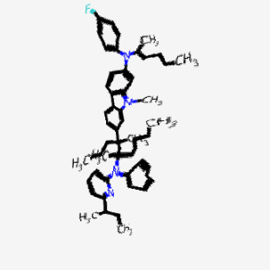 CCCCC(C)N(c1ccc(F)cc1)c1ccc2c3ccc(C(C)(CCC)C(C)(CCCC)N(c4ccccc4)c4cccc(C(C)CC)n4)cc3n(C)c2c1